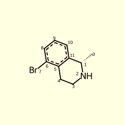 C[C@@H]1NCCc2c(Br)cccc21